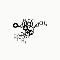 CCOCCN(C(=O)OC(C)(C)C)c1ncc(Cl)c2c1c1cc(OC)c(OCc3ccccc3)cc1n2C(=O)OC(C)(C)C